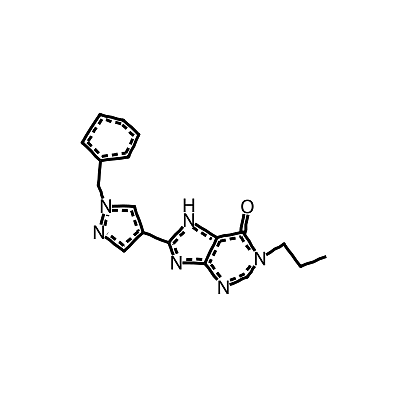 CCCn1cnc2nc(-c3cnn(Cc4ccccc4)c3)[nH]c2c1=O